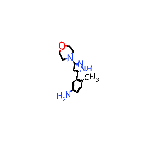 Cc1ccc(N)cc1-c1cc(N2CCOCC2)n[nH]1